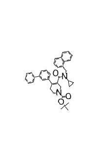 CC(C)(C)OC(=O)N1CCC(c2cccc(-c3ccccc3)c2)=C(C(=O)N(Cc2cccc3ccccc23)C2CC2)C1